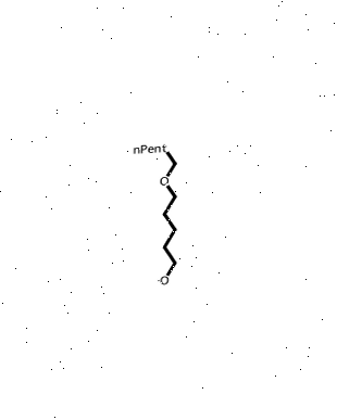 CCCCCCOCCCCC[O]